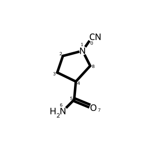 N#CN1CCC(C(N)=O)C1